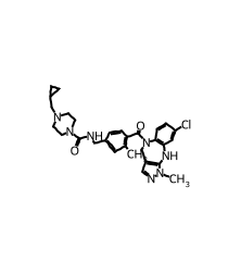 Cc1cc(CNC(=O)N2CCN(CC3CC3)CC2)ccc1C(=O)N1Cc2cnn(C)c2Nc2cc(Cl)ccc21